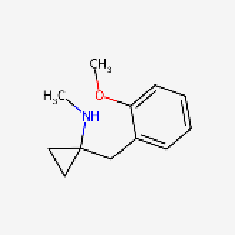 CNC1(Cc2ccccc2OC)CC1